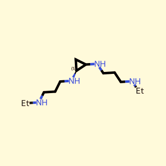 CCNCCCNC1C[C@@H]1NCCCNCC